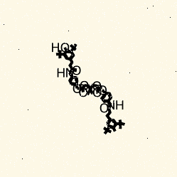 Cc1c(C(C)(C)C)cc(CCC(=O)Nc2ccc(OP3OCC4(CO3)COP(Oc3ccc(NC(=O)CCc5cc(C(C)(C)C)c(O)c(C(C)(C)C)c5)cc3)OC4)cc2)cc1C(C)(C)C